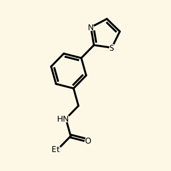 CCC(=O)NCc1cccc(-c2nccs2)c1